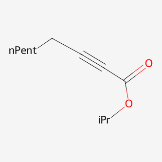 CCCCCCC#CC(=O)OC(C)C